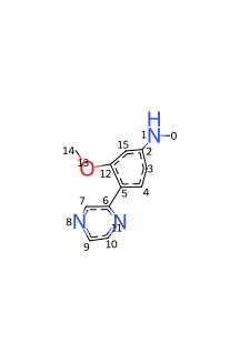 CNc1ccc(-c2cnccn2)c(OC)c1